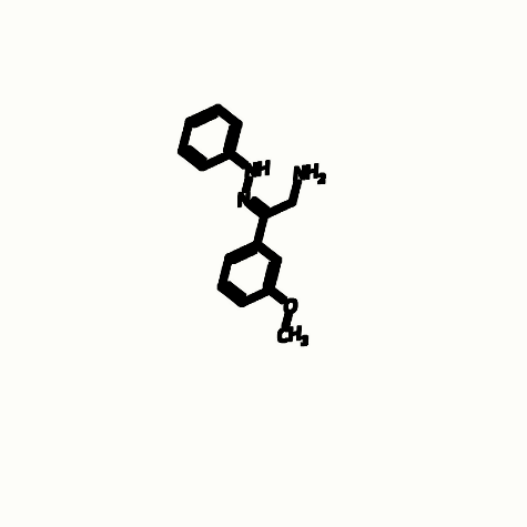 COc1cccc(C(CN)=NNc2ccccc2)c1